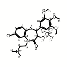 COc1cc(C2Sc3ccc(Cl)cc3N(CCN(C)C)C(=O)C2O[Cl+3]([O-])([O-])[O-])cc(OC)c1OC